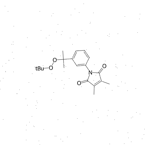 CC1=C(C)C(=O)N(c2cccc(C(C)(C)OOC(C)(C)C)c2)C1=O